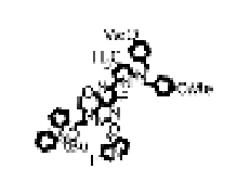 COc1ccc(CN(Cc2ccc(OC)cc2)c2cc(C)cc(-c3nc4c5c(nc(OC[C@@]67CCCN6C[C@H](F)C7)nc5c3F)N(CCO[Si](c3ccccc3)(c3ccccc3)C(C)(C)C)CCO4)n2)cc1